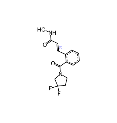 O=C(/C=C/c1ccccc1C(=O)N1CCC(F)(F)C1)NO